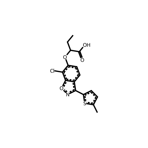 CCC(Oc1ccc2c(-c3ccc(C)s3)noc2c1Cl)C(=O)O